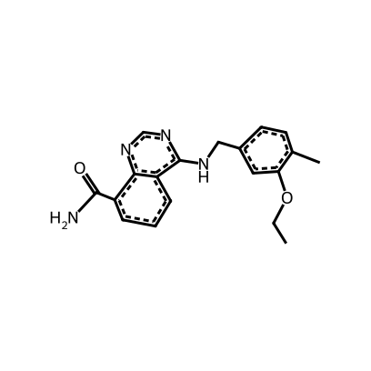 CCOc1cc(CNc2ncnc3c(C(N)=O)cccc23)ccc1C